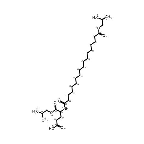 CC(C)COC(=O)CCCCCCCCCCCCCCCCC(=O)NC(CCC(=O)O)C(=O)OCC(C)C